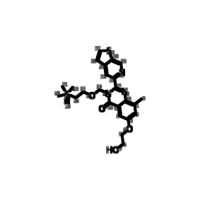 Cc1cc(OCCO)cc2c(=O)n(COCC[SH](C)(C)(C)C)c(-c3cc4ccsc4cn3)nc12